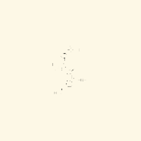 NCC(=O)N(c1ccc(NC(N)=O)cc1)C1C(=O)N2CC(CSc3nnc(CS(=O)(=O)O)o3)(C(=O)O)CS[C@H]12